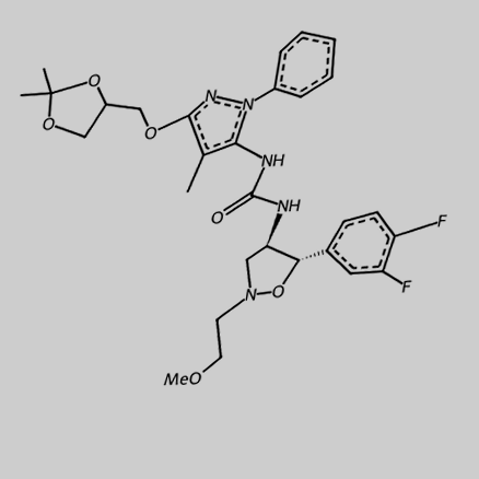 COCCN1C[C@@H](NC(=O)Nc2c(C)c(OCC3COC(C)(C)O3)nn2-c2ccccc2)[C@H](c2ccc(F)c(F)c2)O1